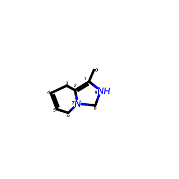 CC1=C2CC=CCN2CN1